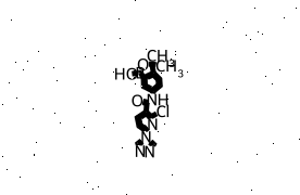 CC1(C)OB(O)c2cc(NC(=O)c3ccc(-n4cnnc4)nc3Cl)ccc21